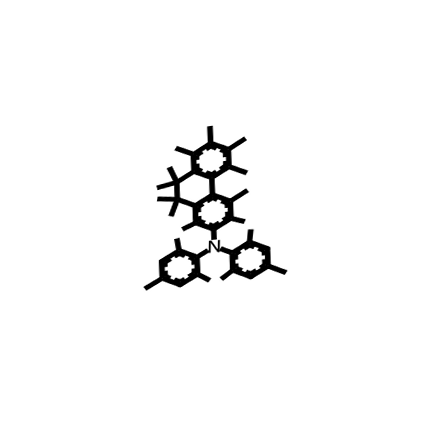 Cc1cc(C)c(N(c2c(C)cc(C)cc2C)c2c(C)c(C)c3c(c2C)C(C)(C)C(C)(C)c2c(C)c(C)c(C)c(C)c2-3)c(C)c1